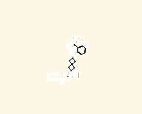 NC(=O)c1ccccc1OC1CC2(CC(NC(=O)O)C2)C1